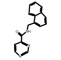 O=C(NCc1cccc2ccccc12)c1ccncn1